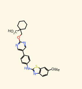 COc1ccc2nc(Nc3ccc(-c4cnc(OCC5(C(=O)O)CCCCC5)nc4)cc3)sc2c1